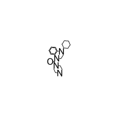 CN1CCN(C(=O)N2CCN(C3CCCCC3)c3ccccc32)CC1